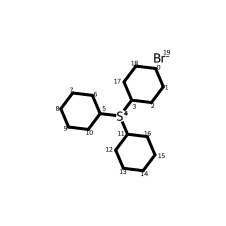 C1CCC([S+](C2CCCCC2)C2CCCCC2)CC1.[Br-]